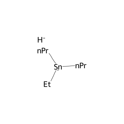 CC[CH2][Sn]([CH2]C)[CH2]CC.[H-]